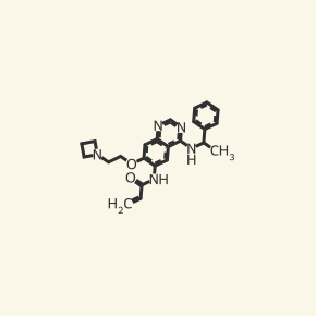 C=CC(=O)Nc1cc2c(NC(C)c3ccccc3)ncnc2cc1OCCN1CCC1